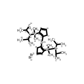 CC(C)N(C(C)C)[Si](C)(C)C1=[C]([Zr+2][C]2=C([Si](C)(C)N(C(C)C)C(C)C)C=CC2)CC=C1.[Br-].[Br-]